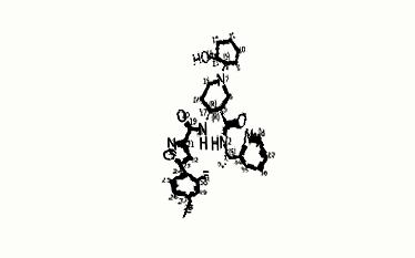 C[C@H](NC(=O)[C@@H]1CN([C@H]2CCCC[C@@H]2O)CC[C@H]1NC(=O)c1cc(-c2ccc(F)cc2F)on1)c1ccccn1